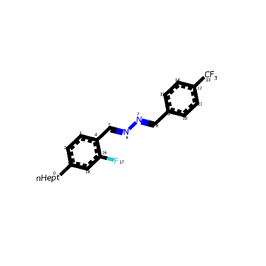 CCCCCCCc1ccc(/C=N/N=C/c2ccc(C(F)(F)F)cc2)c(F)c1